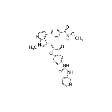 CONC(=O)c1ccc(-c2ccnc3c2c(C=C2Oc4ccc(NC(=O)Nc5cccnc5)cc4C2=O)cn3C)cc1